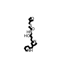 O=C(CSCc1ccoc1)NCC(O)=CCc1cc(CC2CC=CCN2)ccn1